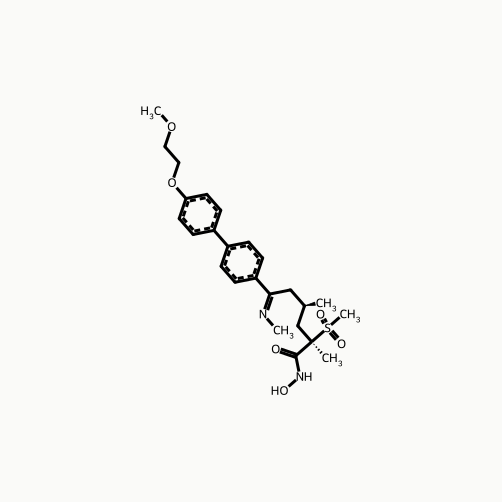 C/N=C(\C[C@@H](C)C[C@](C)(C(=O)NO)S(C)(=O)=O)c1ccc(-c2ccc(OCCOC)cc2)cc1